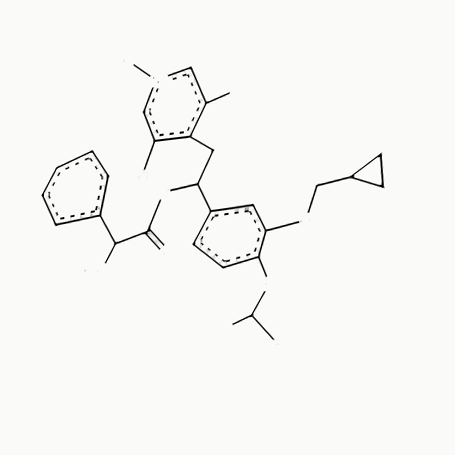 CC(=O)OC(C(=O)OC(Cc1c(Cl)c[n+]([O-])cc1Cl)c1ccc(OC(F)F)c(OCC2CC2)c1)c1ccccc1